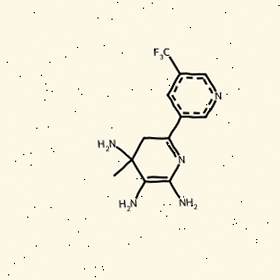 CC1(N)CC(c2cncc(C(F)(F)F)c2)=NC(N)=C1N